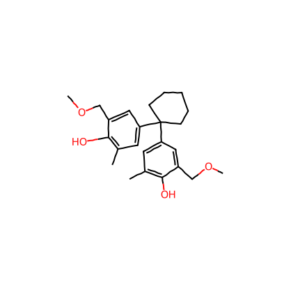 COCc1cc(C2(c3cc(C)c(O)c(COC)c3)CCCCC2)cc(C)c1O